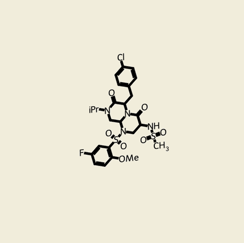 COc1ccc(F)cc1S(=O)(=O)N1CC(NS(C)(=O)=O)C(=O)N2C(Cc3ccc(Cl)cc3)C(=O)N(C(C)C)CC21